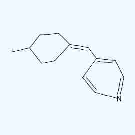 CC1CCC(=Cc2ccncc2)CC1